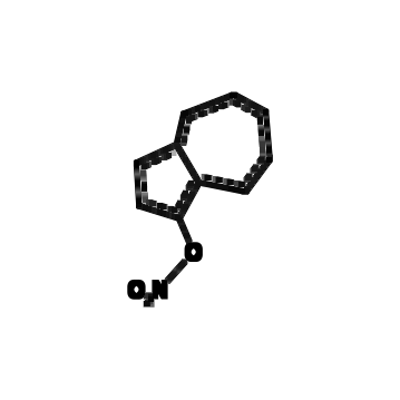 O=[N+]([O-])Oc1ccc2cccccc1-2